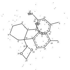 Cc1ccc(C2CCCCC2(c2ccc(C)cc2C(C)(C)C)P2OCO2)c(C(C)(C)C)c1